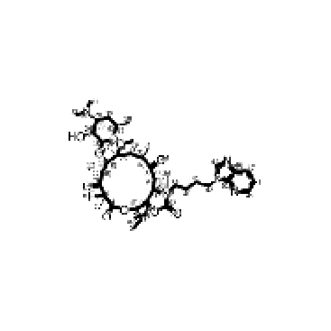 CC[C@H]1OC(=O)[C@@](C)(F)C(=O)[C@H](C)[C@@H](OC2O[C@H](C)C[C@H](N(C)C)[C@H]2O)[C@@](C)(OC)C[C@@H](C)C(=O)[C@H](C)[C@H]2N(CCCCn3cnc4cccnc43)C(=O)O[C@]12CC